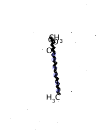 CC/C=C/C/C=C/C/C=C/C/C=C/C/C=C/C=C/C(=O)CCC(=O)OC